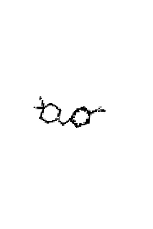 CSc1ccc(CN2CCC(F)(F)CC2)cc1